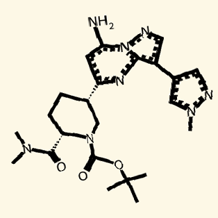 CN(C)C(=O)[C@@H]1CC[C@H](c2cc(N)n3ncc(-c4cnn(C)c4)c3n2)CN1C(=O)OC(C)(C)C